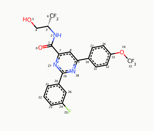 O=C(N[C@H](CO)C(F)(F)F)c1cc(-c2ccc(OC(F)(F)F)cc2)nc(-c2cccc(F)c2)n1